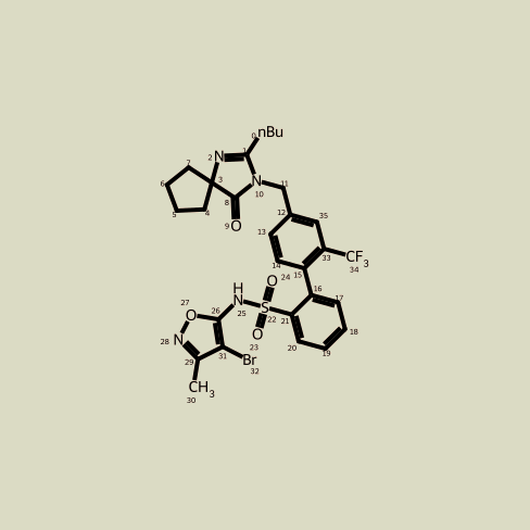 CCCCC1=NC2(CCCC2)C(=O)N1Cc1ccc(-c2ccccc2S(=O)(=O)Nc2onc(C)c2Br)c(C(F)(F)F)c1